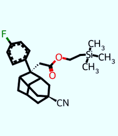 C[Si](C)(C)CCOC(=O)C[C@]1(c2ccc(F)cc2)C2CC3CC1C[C@@](C#N)(C3)C2